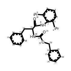 CC(C)c1cccc(C(C)C)c1NC(=O)C(Cc1ccccc1)NC(=O)OCc1ccccc1